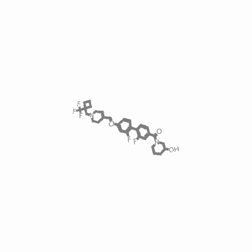 O=C(c1ccc(-c2ccc(OCC3CCN(CC4(C(F)(F)F)CCC4)CC3)cc2F)c(F)c1)N1CCCC(O)C1